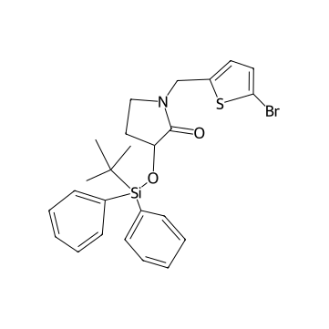 CC(C)(C)[Si](OC1CCN(Cc2ccc(Br)s2)C1=O)(c1ccccc1)c1ccccc1